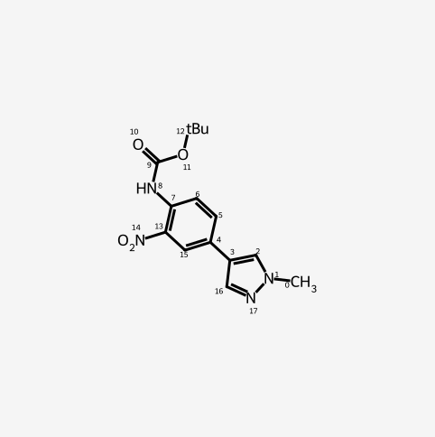 Cn1cc(-c2ccc(NC(=O)OC(C)(C)C)c([N+](=O)[O-])c2)cn1